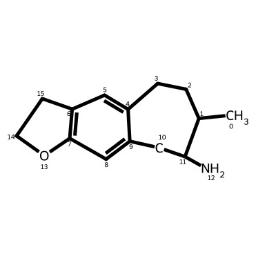 CC1CCc2cc3c(cc2CC1N)OCC3